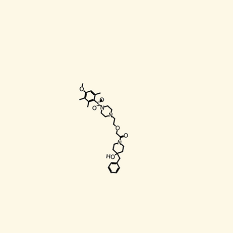 COc1cc(C)c(S(=O)(=O)N2CCN(CCOCC(=O)N3CCC(O)(Cc4ccccc4)CC3)CC2)c(C)c1C